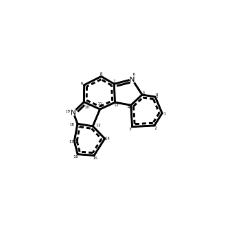 [c]1cccc2c1N=c1ccc3c(c1-2)-c1ccccc1N=3